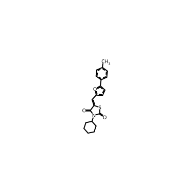 Cc1ccc(-c2ccc(/C=C3\SC(=O)N(C4CCCCC4)C3=O)o2)cc1